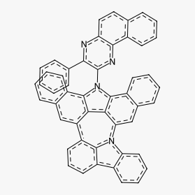 c1ccc(-c2nc3ccc4ccccc4c3nc2-n2c3c4ccccc4cc4c5cccc6c7ccccc7n(c7cc8ccccc8c2c7c43)c56)cc1